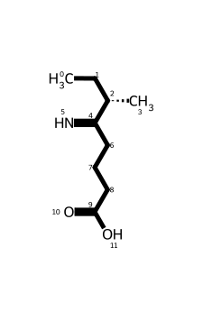 CC[C@H](C)C(=N)CCCC(=O)O